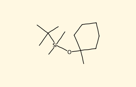 CC1(O[Si](C)(C)C(C)(C)C)CCCCC1